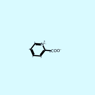 O=C([O-])C1=CC=CC=[N+]1